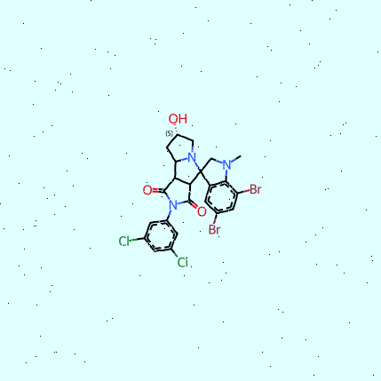 CN1CC2(c3cc(Br)cc(Br)c31)C1C(=O)N(c3cc(Cl)cc(Cl)c3)C(=O)C1C1C[C@H](O)CN12